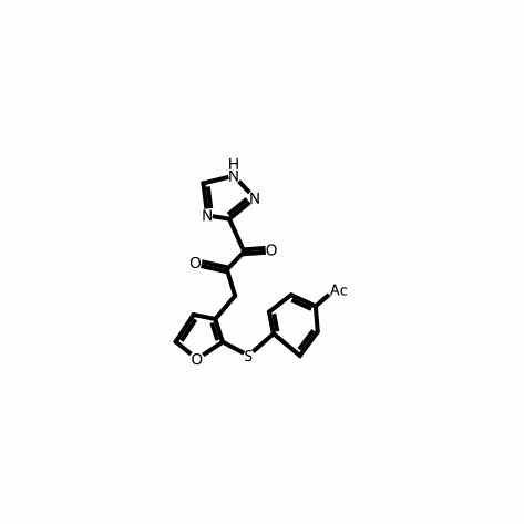 CC(=O)c1ccc(Sc2occc2CC(=O)C(=O)c2nc[nH]n2)cc1